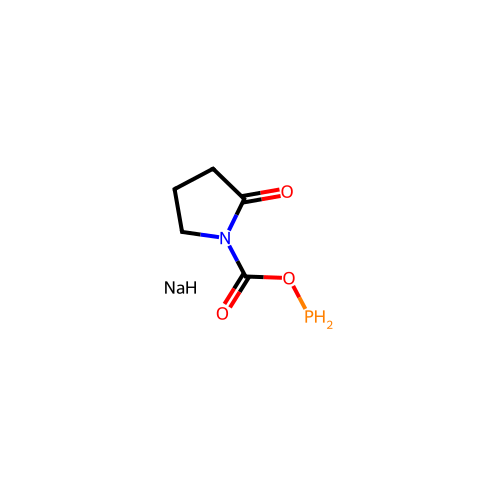 O=C1CCCN1C(=O)OP.[NaH]